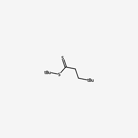 CC(C)(C)CCC(=S)SC(C)(C)C